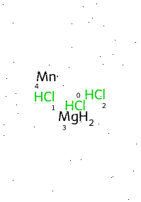 Cl.Cl.Cl.[MgH2].[Mn]